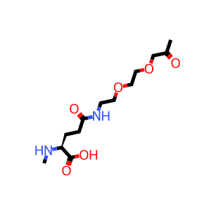 CN[C@@H](CCC(=O)NCCOCCOCC(C)=O)C(=O)O